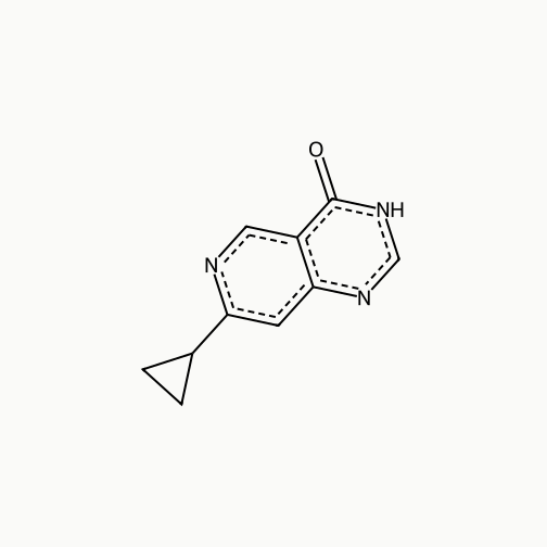 O=c1[nH]cnc2cc(C3CC3)ncc12